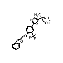 C[C@](N)(CO)c1nnc(-c2ccc(OCc3cc4ccccc4o3)c(C(F)(F)F)c2)s1